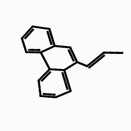 CC=Cc1cc2ccccc2c2ccccc12